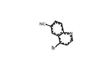 N#Cc1ccc2nccc(Br)c2c1